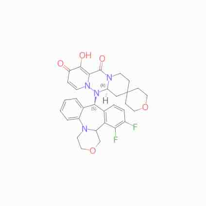 O=C1c2c(O)c(=O)ccn2N([C@@H]2c3ccccc3N3CCOCC3c3c2ccc(F)c3F)[C@@H]2CC3(CCOCC3)CCN12